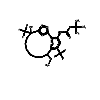 COC1CCCCCCC(O)(C(F)(F)F)c2nnc(o2)-c2nc1c(C(F)(F)F)cc2NC(=O)OC(C)(C)C